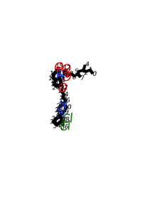 CCCC(C)CC(C)CCOC(=O)n1c(=O)ccc2ccc(OCCCCN3CCN(c4cccc(Cl)c4Cl)CC3)cc21